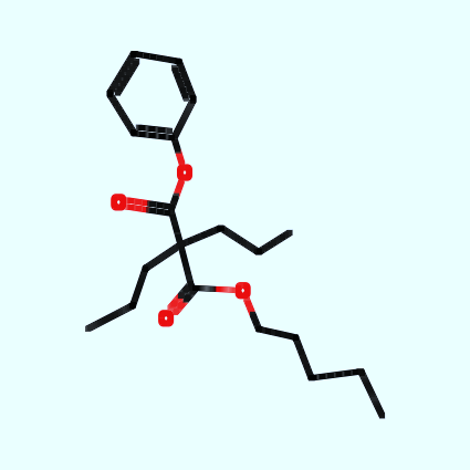 CCCCCOC(=O)C(CCC)(CCC)C(=O)Oc1ccccc1